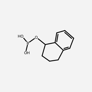 OB(O)OC1CCCc2ccccc21